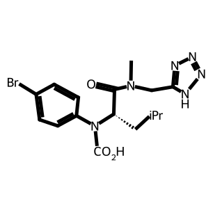 CC(C)C[C@@H](C(=O)N(C)Cc1nnn[nH]1)N(C(=O)O)c1ccc(Br)cc1